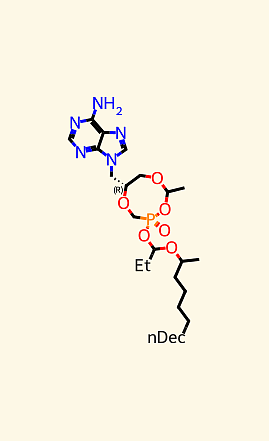 CCCCCCCCCCCCCCC(C)OC(CC)OP1(=O)CO[C@H](Cn2cnc3c(N)ncnc32)COC(C)O1